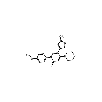 Cn1cc(-c2cn(-c3ccc(OC(F)(F)F)cc3)c(=O)cc2N2CCOCC2)cn1